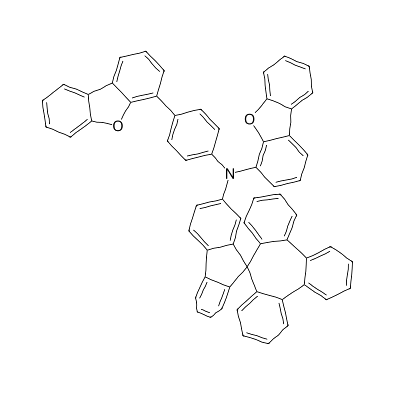 c1ccc2c(c1)-c1ccccc1C1(c3ccccc3-2)c2ccccc2-c2ccc(N(c3ccc(-c4cccc5c4oc4ccccc45)cc3)c3cccc4c3oc3ccccc34)cc21